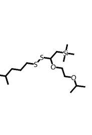 CC(C)CCCSSC(C[Si](C)(C)C)OCCOC(C)C